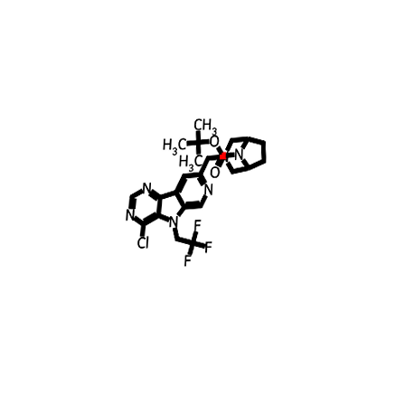 CC(C)(C)OC(=O)N1C2CCC1CN(Cc1cc3c4ncnc(Cl)c4n(CC(F)(F)F)c3cn1)C2